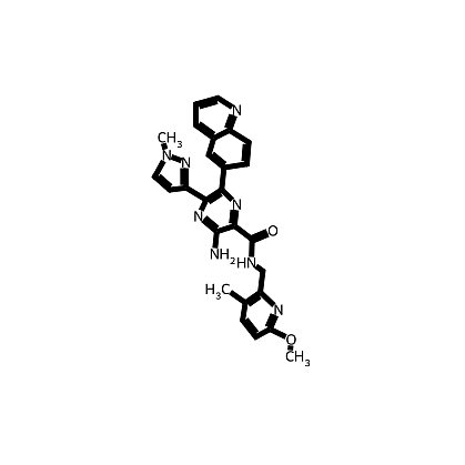 COc1ccc(C)c(CNC(=O)c2nc(-c3ccc4ncccc4c3)c(-c3ccn(C)n3)nc2N)n1